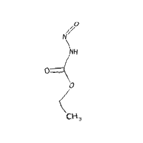 CCOC(=O)NN=O